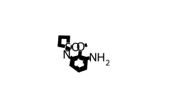 COc1c(N)cccc1N=S1(=O)CCC1